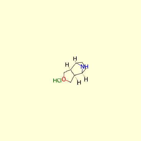 C1OC[C@H]2[C@@H]1[C@H]1CC[C@@H]2N1.Cl